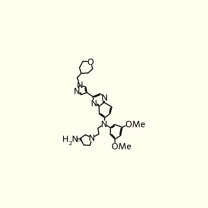 COc1cc(OC)cc(N(CCN2CC[C@H](N)C2)c2ccc3ncc(-c4cnn(CC5CCOCC5)c4)nc3c2)c1